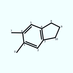 Cc1cc2c(cc1C)CCC2